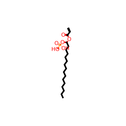 C=CC(=O)OC(CCCCCCCCCCCCCCC)OP(=O)(O)O